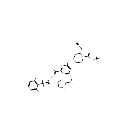 C[C@H](Oc1cc(O[C@H]2CCN(C(=O)OC(C)(C)C)[C@H](CC#N)C2)nc(C(N)=NOC(=O)C(C)(C)c2c(F)cccc2F)n1)[C@@H]1CCCN1C